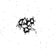 Cc1cccc(C)c1-c1nc2ccccc2c2nc3ccccn3c12